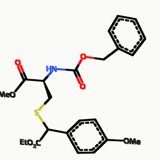 CCOC(=O)C(SC[C@H](NC(=O)OCc1ccccc1)C(=O)OC)c1ccc(OC)cc1